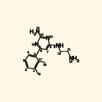 Cc1cccc(-c2cc(NCCN)nc(N)n2)c1C